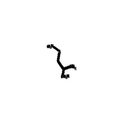 NC(CS[N+](=O)[O-])C(=O)O